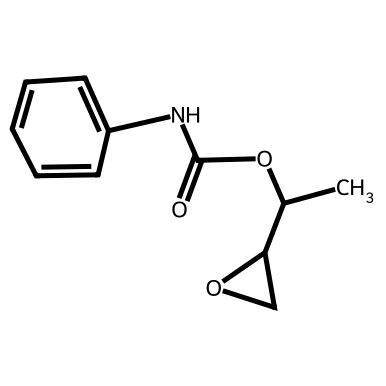 CC(OC(=O)Nc1ccccc1)C1CO1